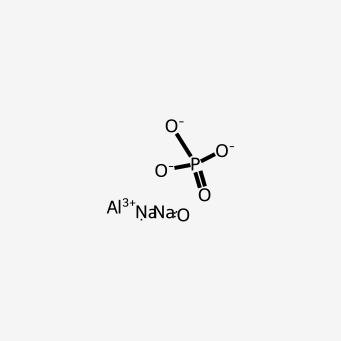 O=P([O-])([O-])[O-].[Al+3].[Na].[Na].[O]